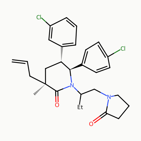 C=CC[C@@]1(C)C[C@H](c2cccc(Cl)c2)[C@@H](c2ccc(Cl)cc2)N(C(CC)CN2CCCC2=O)C1=O